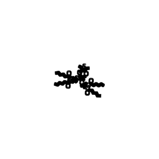 CCCCCC(=O)OCC(C)(COC(=O)CCCCC)OCC1(COC(C)(COC(=O)CCCCC)COC(=O)CCCCC)COc2c(C)sc(C)c2OC1